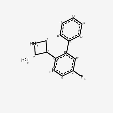 Cl.Fc1cnc(C2CNC2)c(-c2ccccc2)c1